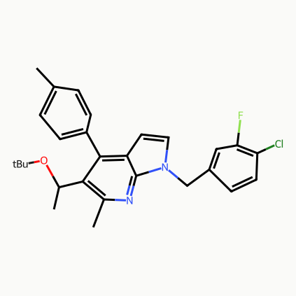 Cc1ccc(-c2c(C(C)OC(C)(C)C)c(C)nc3c2ccn3Cc2ccc(Cl)c(F)c2)cc1